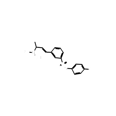 CC(=O)N(O)C(C)C=Cc1cccc(S(=O)(=O)Nc2ccc(Cl)cc2)c1